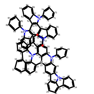 c1ccc(-c2cccc(-c3ccccc3)c2N2c3ccccc3B3c4cc5c6cccc7c8ccccc8n(c5cc4N(c4ccccc4)c4cc(-n5c8ccccc8c8c9c(c%10ccccc%10n9-c9ccccc9)c9c(c%10ccccc%10n9-c9ccccc9)c85)cc2c43)c76)cc1